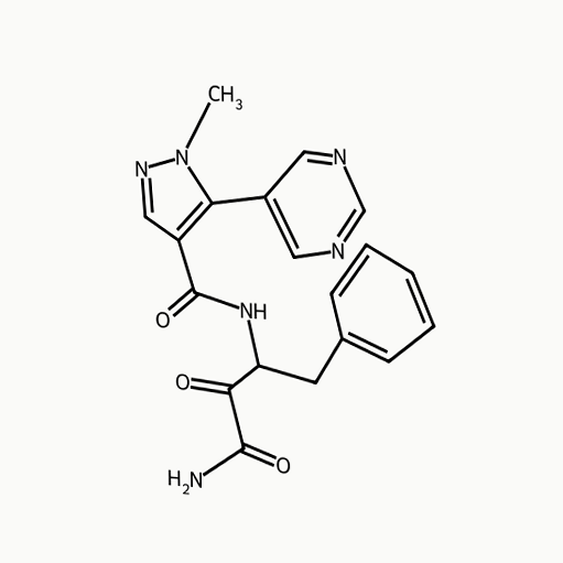 Cn1ncc(C(=O)NC(Cc2ccccc2)C(=O)C(N)=O)c1-c1cncnc1